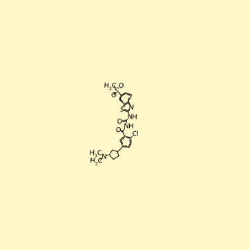 CN(C)[C@@H]1CCC(c2ccc(Cl)c(C(=O)NC(=O)Nc3nc4ccc(S(C)(=O)=O)cc4s3)c2)C1